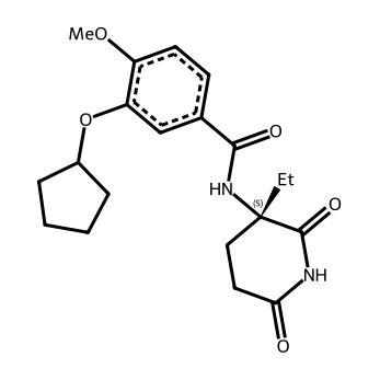 CC[C@]1(NC(=O)c2ccc(OC)c(OC3CCCC3)c2)CCC(=O)NC1=O